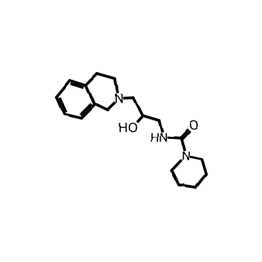 O=C(NCC(O)CN1CCc2ccccc2C1)N1CCCCC1